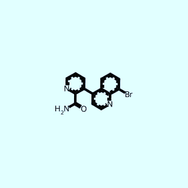 NC(=O)c1ncccc1-c1ccnc2c(Br)cccc12